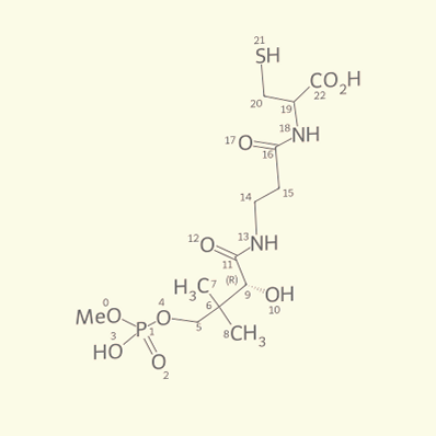 COP(=O)(O)OCC(C)(C)[C@@H](O)C(=O)NCCC(=O)NC(CS)C(=O)O